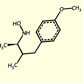 COc1ccc(CC(C)[C@@H](C)NO)cc1